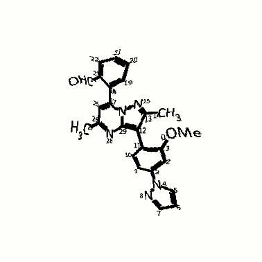 COc1cc(-n2cccn2)ccc1-c1c(C)nn2c(-c3ccccc3C=O)cc(C)nc12